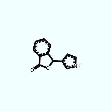 O=C1OC(c2cc[nH]c2)c2ccccc21